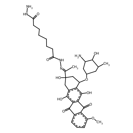 COc1cccc2c1C(=O)c1c(O)c3c(c(O)c1C2=O)CC(O)(/C(C)=N/NC(=O)CCCCCCC(=O)NN)CC3OC1CC(C)C(O)C(N)C1